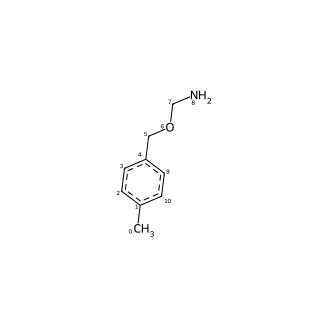 Cc1ccc(COCN)cc1